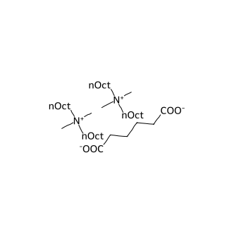 CCCCCCCC[N+](C)(C)CCCCCCCC.CCCCCCCC[N+](C)(C)CCCCCCCC.O=C([O-])CCCCC(=O)[O-]